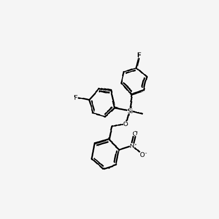 C[Si](OCc1ccccc1[N+](=O)[O-])(c1ccc(F)cc1)c1ccc(F)cc1